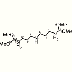 COC(OC)[SiH2]CCCNCCC[SiH2]C(OC)OC